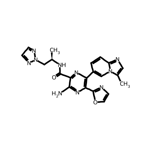 Cc1cnc2ccc(-c3nc(C(=O)N[C@H](C)Cn4nccn4)c(N)nc3-c3ncco3)cn12